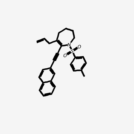 C=CCC1=C(C#Cc2ccc3ccccc3c2)N(S(=O)(=O)c2ccc(C)cc2)CCCC1